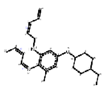 C=C/C=C\CNc1cc(OC2CCC(CC)CC2)cc(C)c1/N=C\C=C/C